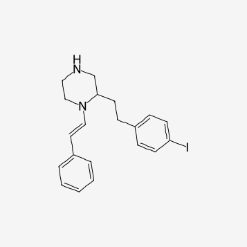 Ic1ccc(CCC2CNCCN2C=Cc2ccccc2)cc1